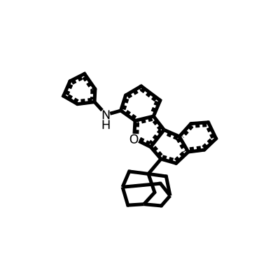 c1ccc(Nc2cccc3c2oc2c(C45CC6CC(CC(C6)C4)C5)cc4ccccc4c23)cc1